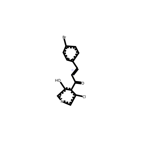 O=C(/C=C/c1ccc(Br)cc1)c1c(O)cncc1Cl